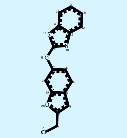 ClCc1cc2ccc(Oc3nc4ccccc4s3)cc2o1